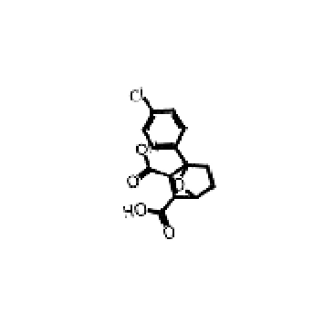 O=C(O)C1=C(C(=O)O)C2(c3ccc(Cl)cc3)CCC1O2